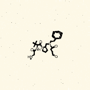 CNCC(=O)NC(C(=O)N1CCCC1CN(CCc1ccccc1)C(=O)CCC=O)C(C)(C)C